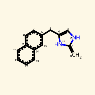 C=C1NC=C(Cc2ccc3ccccc3c2)N1